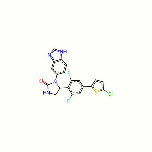 O=C1NCC(c2c(F)cc(-c3ccc(Cl)s3)cc2F)N1c1ccc2[nH]cnc2c1